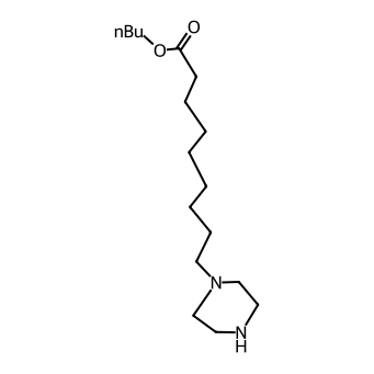 CCCCOC(=O)CCCCCCCCN1CCNCC1